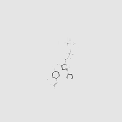 BC(B)(B)OCC(C)(C)NC(=O)c1nn(-c2ccsc2)c2c1COc1cc(OC)c(C=C(C)C)cc1-2